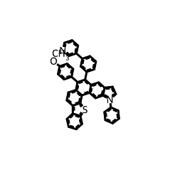 COc1ccc(-c2c(-c3cccc(-c4cccnc4)c3)c3cc4ccn(-c5ccccc5)c4cc3c3c2ccc2c4ccccc4sc23)cc1